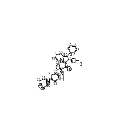 CC1C(c2ccccc2)=C2C=CC=CN2C1C(=O)C(=O)Nc1ccc(N2CCOCC2)cc1